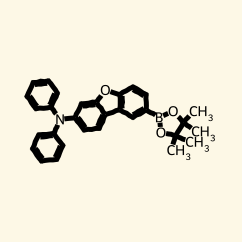 CC1(C)OB(c2ccc3oc4cc(N(c5ccccc5)c5ccccc5)ccc4c3c2)OC1(C)C